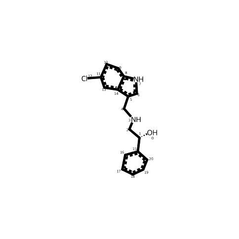 O[C@@H](CNCc1c[nH]c2ccc(Cl)cc12)c1ccccc1